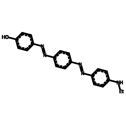 CCNc1ccc(N=Nc2ccc(N=Nc3ccc(O)cc3)cc2)cc1